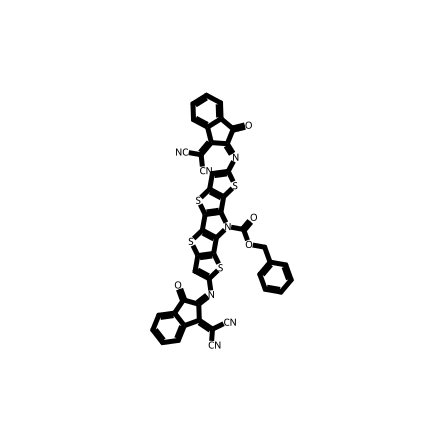 N#CC(C#N)=C1/C(=N/c2cc3sc4c5sc6cc(/N=C7/C(=O)c8ccccc8C7=C(C#N)C#N)sc6c5n(C(=O)OCc5ccccc5)c4c3s2)C(=O)c2ccccc21